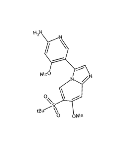 COc1cc(N)ncc1-c1cnc2cc(OC)c(S(=O)(=O)C(C)(C)C)cn12